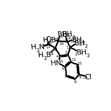 BC1(B)c2c([nH]c3ccc(Cl)cc23)[C@](B)(C(N)=O)C(B)(B)C1(B)B